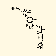 CCN(CCON(C)C(=O)CNCc1cnoc1)c1c(F)cc(N2C[C@H](CNC(C)=O)OC2=O)cc1F